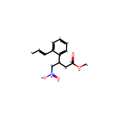 CC=Cc1ccccc1C(CC(=O)OC)C[N+](=O)[O-]